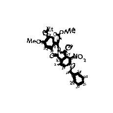 CCOc1cc(C(CC(=O)OC)N2C(=O)c3ccc(OCc4ccccc4)c([N+](=O)[O-])c3C2=O)ccc1OC